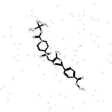 COC(=O)c1ccc(-c2nc(CS(=O)(=O)C3CCN(C(=O)OC(C)(C)C)CC3)c(C)o2)cc1